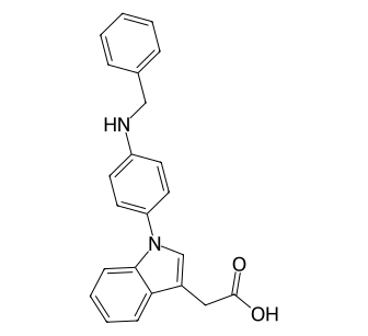 O=C(O)Cc1cn(-c2ccc(NCc3ccccc3)cc2)c2ccccc12